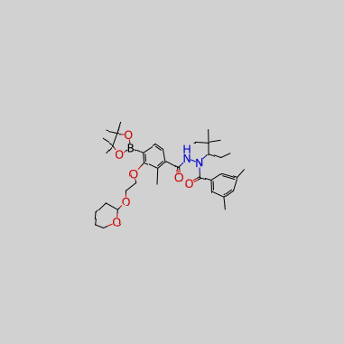 CCC(N(NC(=O)c1ccc(B2OC(C)(C)C(C)(C)O2)c(OCCOC2CCCCO2)c1C)C(=O)c1cc(C)cc(C)c1)C(C)(C)C